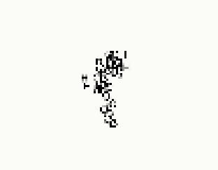 C1=CNc2ccccc2C=N1.Cc1ccc(C(=O)O)cc1C(=O)O.Cc1cccc(C(=O)Nc2ccc(C(=O)C3=c4ccc5c(c4CCC3)CC=c3ccccc3=5)cc2)c1C.Cl